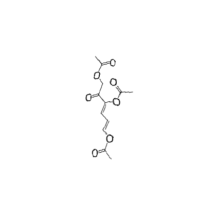 CC(=O)OC=CC=C(OC(C)=O)C(=O)COC(C)=O